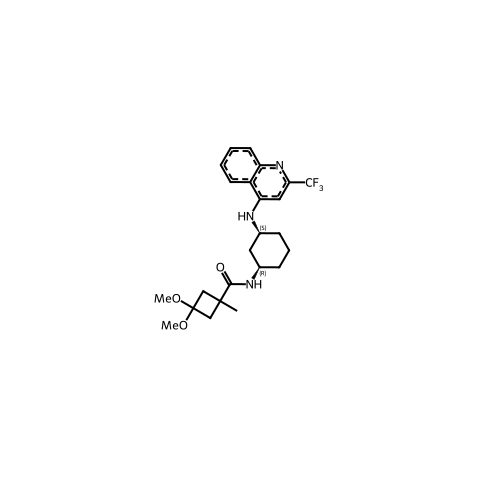 COC1(OC)CC(C)(C(=O)N[C@@H]2CCC[C@H](Nc3cc(C(F)(F)F)nc4ccccc34)C2)C1